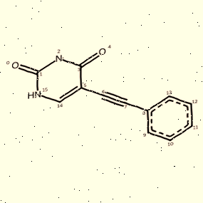 O=C1[N]C(=O)C(C#Cc2ccccc2)=CN1